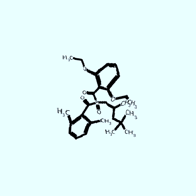 CCOc1cccc(OCC)c1C(=O)P(=O)(CC(C)CC(C)(C)C)C(=O)c1c(C)cccc1C